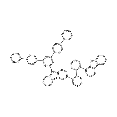 c1ccc(-c2ccc(-c3cc(-c4ccc(-c5ccccc5)cc4)nc(-n4c5ccccc5c5cc(-c6ccccc6-c6ccccc6-c6cccc7c6sc6ccccc67)ccc54)n3)cc2)cc1